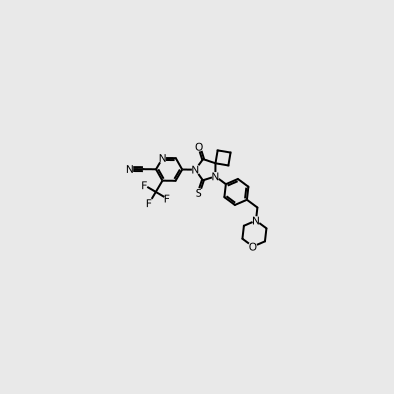 N#Cc1ncc(N2C(=O)C3(CCC3)N(c3ccc(CN4CCOCC4)cc3)C2=S)cc1C(F)(F)F